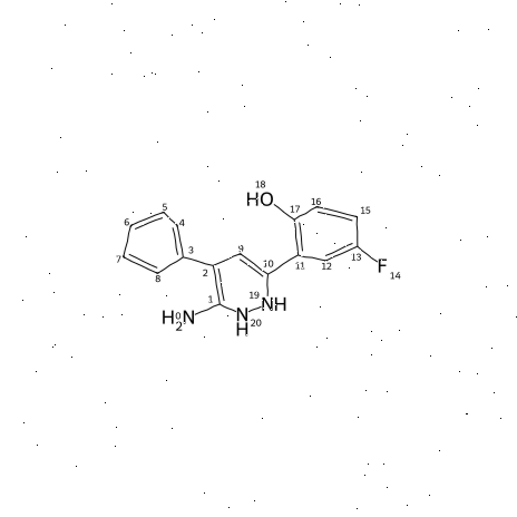 NC1=C(c2ccccc2)C=C(c2cc(F)ccc2O)NN1